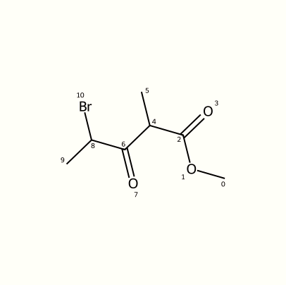 COC(=O)C(C)C(=O)C(C)Br